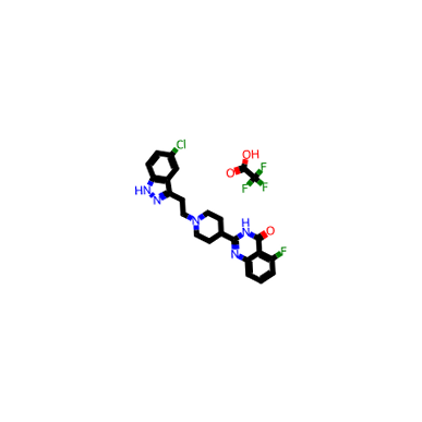 O=C(O)C(F)(F)F.O=c1[nH]c(C2CCN(CCc3n[nH]c4ccc(Cl)cc34)CC2)nc2cccc(F)c12